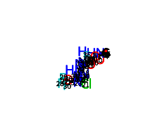 O=C(NC12CC(C1)C2)O[C@@H]1CO[C@H](c2cc(Nc3ncc(Cl)c4nc(COC(F)(F)F)cn34)n[nH]2)[C@H]1F